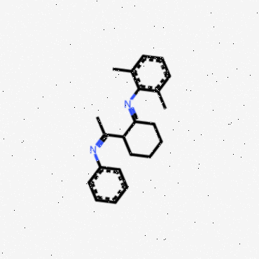 CC(=Nc1ccccc1)C1CCCCC1=Nc1c(C)cccc1C